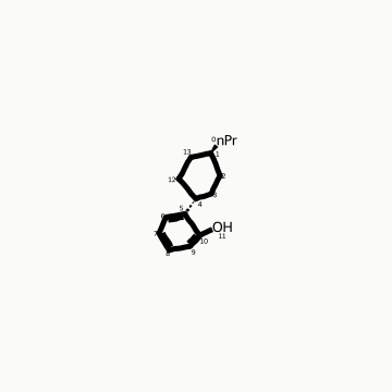 CCC[C@H]1CC[C@H](c2ccccc2O)CC1